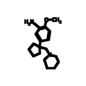 COc1ccc(C2(CN3CCCCC3)CCCC2)cc1N